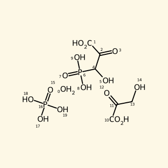 O.O=C(O)C(=O)C(O)P(=O)(O)O.O=C(O)C(=O)CO.O=P(O)(O)O